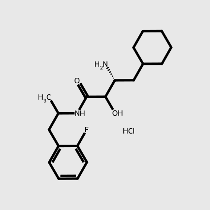 CC(Cc1ccccc1F)NC(=O)C(O)[C@H](N)CC1CCCCC1.Cl